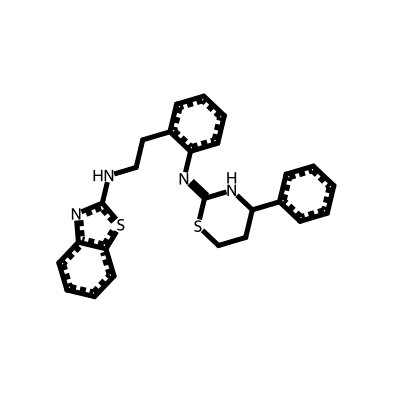 c1ccc(C2CCS/C(=N/c3ccccc3CCNc3nc4ccccc4s3)N2)cc1